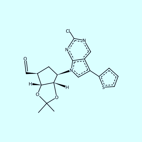 CC1(C)O[C@@H]2[C@H](O1)[C@@H](C=O)C[C@H]2n1cc(-c2cccs2)c2cnc(Cl)nc21